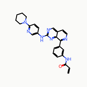 C=CC(=O)Nc1cccc(-c2nccc3cnc(Nc4ccc(N5CCCCC5)nc4)nc23)c1